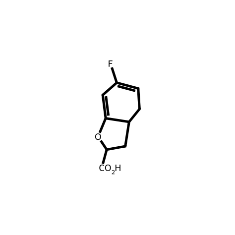 O=C(O)C1CC2CC=C(F)C=C2O1